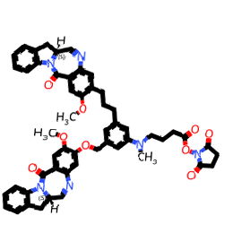 COc1cc2c(cc1CCCc1cc(COc3cc4c(cc3OC)C(=O)N3c5ccccc5C[C@H]3C=N4)cc(N(C)CCCC(=O)ON3C(=O)CCC3=O)c1)N=C[C@@H]1Cc3ccccc3N1C2=O